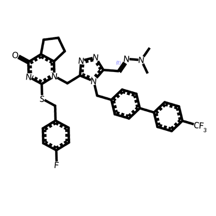 CN(C)/N=C/c1nnc(Cn2c(SCc3ccc(F)cc3)nc(=O)c3c2CCC3)n1Cc1ccc(-c2ccc(C(F)(F)F)cc2)cc1